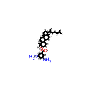 CC(C)=CCCC(C)C1CCC2(C)C3CC=C4C(CCC(OC(=O)c5cc(N)cc(N)c5)C4(C)C)C3CCC12C